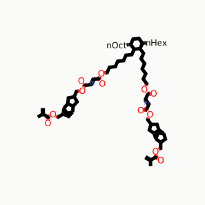 C=C(C)C(=O)OCC1CC2CC1C1CC(COC(=O)/C=C/C(=O)OCCCCCCCC3C(CCCCCC)CCC(CCCCCCCC)C3CCCCCCCOC(=O)/C=C/C(=O)OCC3CC4C5CC(COC(=O)C(=C)C)C(C5)C4C3)CC21